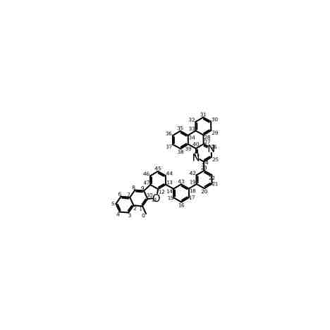 Cc1c2ccccc2cc2c1oc1c(-c3cccc(-c4cccc(-c5cnc6c7ccccc7c7ccccc7c6n5)c4)c3)cccc12